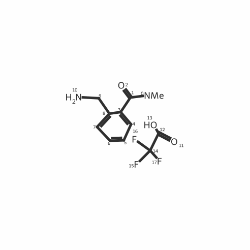 CNC(=O)c1ccccc1CN.O=C(O)C(F)(F)F